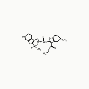 CCOC(=O)c1c(NC(=O)NCc2c(C(C)(F)F)sc3c2CCNC3)sc2c1CC(C)CC2